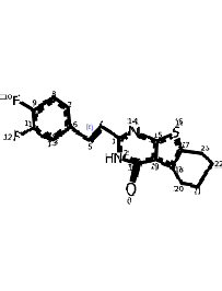 O=c1[nH]c(/C=C/c2ccc(F)c(F)c2)nc2sc3c(c12)CCCC3